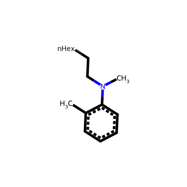 CCCCCCCCN(C)c1ccccc1C